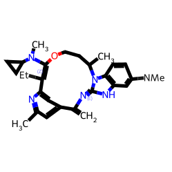 C=C1/N=C2\Nc3cc(NC)ccc3N2C(C)CCO/C(N(C)C2CC2)=C(/CC)c2cc1cc(C)n2